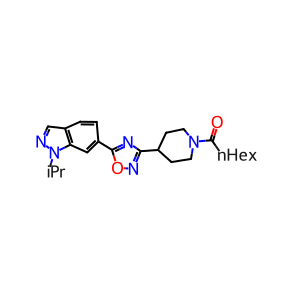 CCCCCCC(=O)N1CCC(c2noc(-c3ccc4cnn(C(C)C)c4c3)n2)CC1